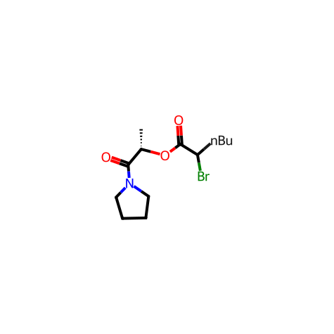 CCCCC(Br)C(=O)O[C@@H](C)C(=O)N1CCCC1